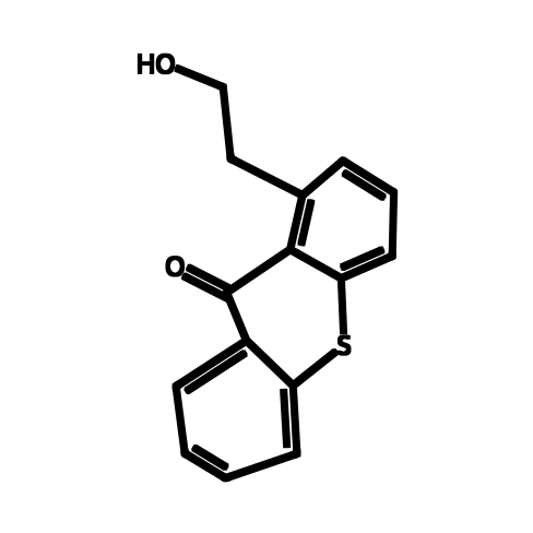 O=c1c2ccccc2sc2cccc(CCO)c12